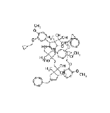 COc1ccc(C2CN(Cc3ccccc3)CC2(C)C(C)(O)CCC(O)(CN2CC(c3ccc(OC)c(OCC4CC4)c3)C(C)(C(C)(C)O)C2OCc2ccccc2)C2(C)CNCC2c2ccc(OC)c(OCC3CC3)c2)cc1OCC1CC1